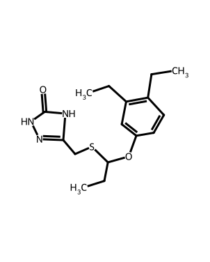 CCc1ccc(OC(CC)SCc2n[nH]c(=O)[nH]2)cc1CC